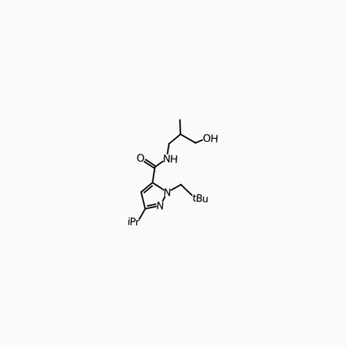 CC(CO)CNC(=O)c1cc(C(C)C)nn1CC(C)(C)C